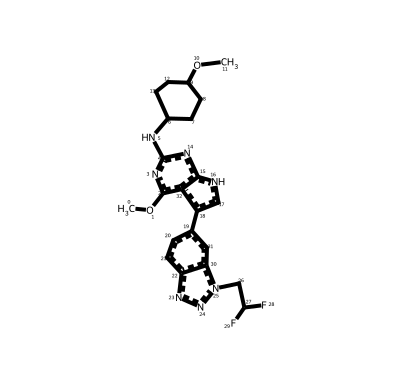 COc1nc(NC2CCC(OC)CC2)nc2[nH]cc(-c3ccc4nnn(CC(F)F)c4c3)c12